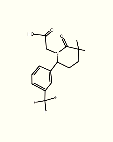 CC1(C)CCC(c2cccc(C(F)(F)F)c2)N(CC(=O)O)C1=O